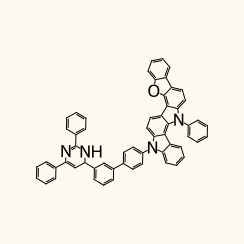 C1=C(c2ccccc2)N=C(c2ccccc2)NC1c1cccc(-c2ccc(-n3c4ccccc4c4c3ccc3c5c6oc7ccccc7c6ccc5n(-c5ccccc5)c34)cc2)c1